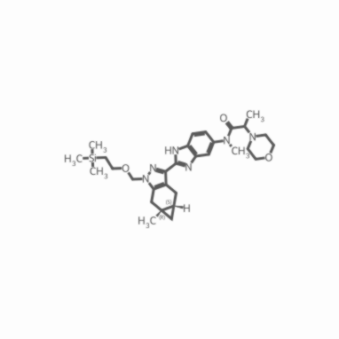 CC(C(=O)N(C)c1ccc2[nH]c(-c3nn(COCC[Si](C)(C)C)c4c3C[C@@H]3C[C@]3(C)C4)nc2c1)N1CCOCC1